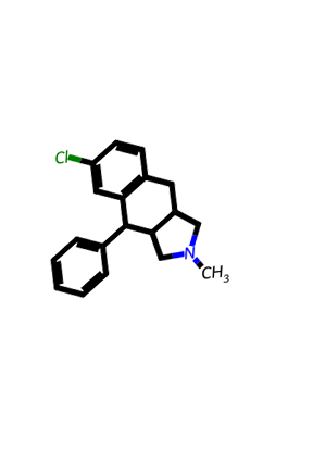 CN1CC2Cc3ccc(Cl)cc3C(c3ccccc3)C2C1